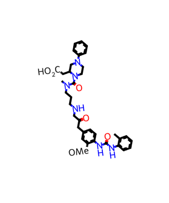 COc1cc(CC(=O)CNCCCN(C)C(=O)N2CCN(c3ccccc3)CC2CC(=O)O)ccc1NC(=O)Nc1ccccc1C